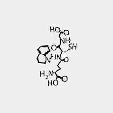 N[C@@H](CCC(=O)N[C@@H](CS)C(=O)NCC(=O)O)C(=O)O.c1ccc2ncccc2c1